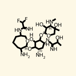 CN[C@@H]1C(O)[C@@H](OC2C(O)C(O[C@H]3OCC(NC(=N)C(F)F)CCCC3N)[C@@H](N)C[C@H]2NC(=N)C(C)O)OCC1(C)O